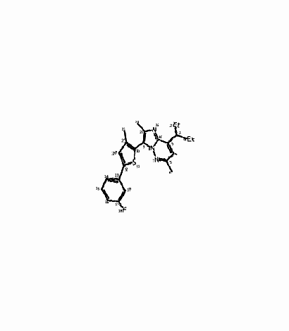 CCC(CC)c1cc(C)nn2c(-c3sc(-c4cccc(F)c4)cc3C)c(C)nc12